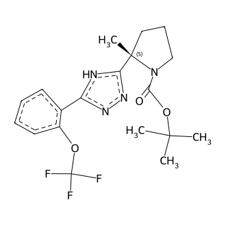 CC(C)(C)OC(=O)N1CCC[C@@]1(C)c1nnc(-c2ccccc2OC(F)(F)F)[nH]1